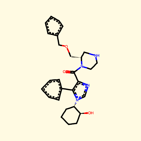 O=C(c1ncn([C@H]2CCCC[C@@H]2O)c1-c1ccccc1)N1CCNC[C@H]1COCc1ccccc1